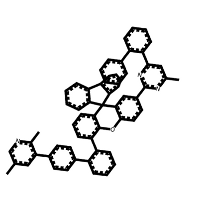 Cc1cnc(C)c(-c2ccc(-c3ccccc3-c3cccc4c3Oc3ccc(-c5nc(C)cc(-c6ccccc6-c6ccccc6)n5)cc3C43c4ccccc4-c4ccccc43)cc2)c1